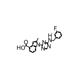 Cc1cc2c(C(=O)O)cccc2n1-c1ncnc(NCc2cccc(F)c2)n1